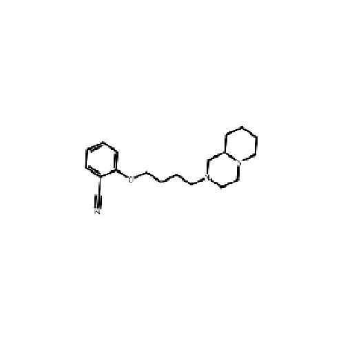 N#Cc1ccccc1OCCCCN1CCN2CCCCC2C1